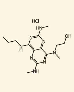 CCCNc1nc(NC)nc2c(N(C)CCO)nc(NC)nc12.Cl